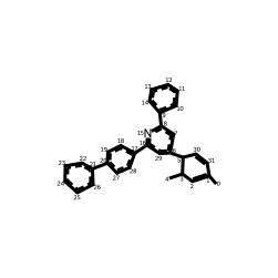 CC1=CC(C)C(c2cc(-c3ccccc3)nc(-c3ccc(-c4ccccc4)cc3)c2)C=C1